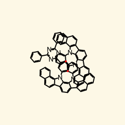 c1ccc(-c2nc(-c3ccccc3)nc(-c3cc(-n4c5c6ccccc6ccc5c5ccc6c7ccc8ccccc8c7n(-c7ccccc7)c6c54)cc(-n4c5c6ccccc6ccc5c5ccc6c7ccc8ccccc8c7n(-c7ccccc7)c6c54)c3)n2)cc1